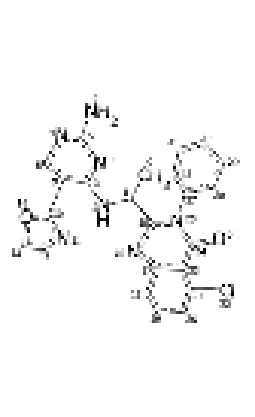 CC(Nc1nc(N)ncc1-c1ncco1)c1nc2cccc(Cl)c2c(=O)n1-c1ccccc1